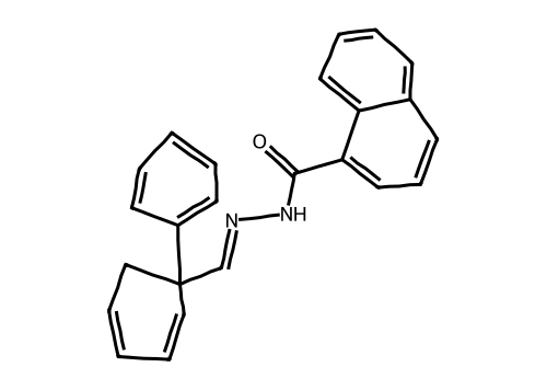 O=C(NN=CC1(c2ccccc2)C=CC=CC1)c1cccc2ccccc12